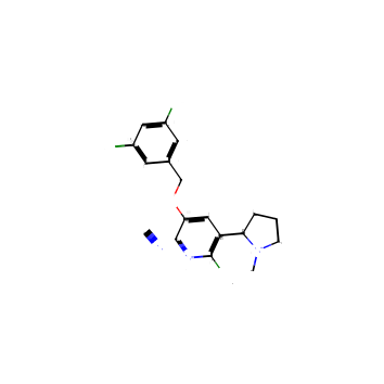 C#N.CN1CCCC1c1cc(OCc2cc(F)cc(F)c2)cnc1Cl